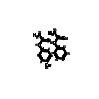 NC(=S)Oc1ccccc1.NC(=S)Oc1ccccc1.[Cu]